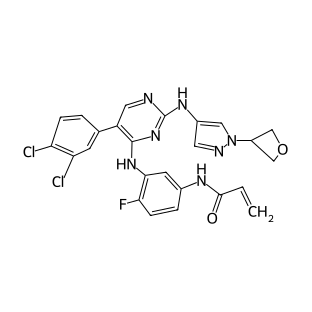 C=CC(=O)Nc1ccc(F)c(Nc2nc(Nc3cnn(C4COC4)c3)ncc2-c2ccc(Cl)c(Cl)c2)c1